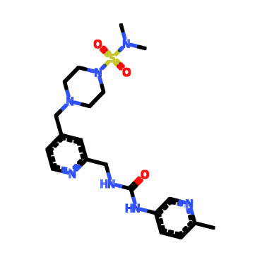 Cc1ccc(NC(=O)NCc2cc(CN3CCN(S(=O)(=O)N(C)C)CC3)ccn2)cn1